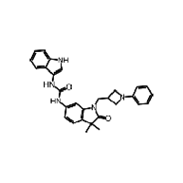 CC1(C)C(=O)N(CC2CN(c3ccccc3)C2)c2cc(NC(=O)Nc3c[nH]c4ccccc34)ccc21